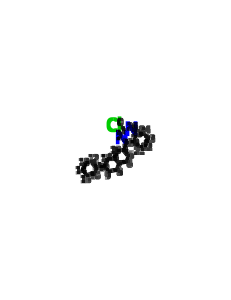 Clc1nc(-c2ccc3ccc(-c4ccccc4)cc3c2)c2ccccc2n1